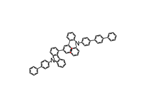 c1ccc(-c2ccc(-c3ccc(N(c4ccccc4)c4ccccc4-c4cccc(-c5cccc6c5c5ccccc5n6-c5ccc(-c6ccccc6)cc5)c4)cc3)cc2)cc1